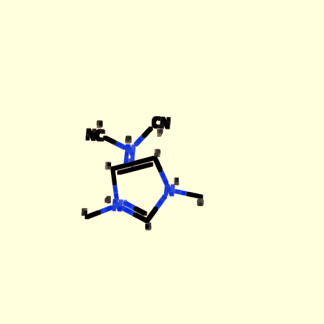 Cn1cc[n+](C)c1.N#CNC#N